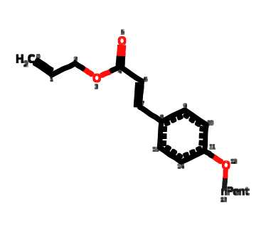 C=CCOC(=O)C=Cc1ccc(OCCCCC)cc1